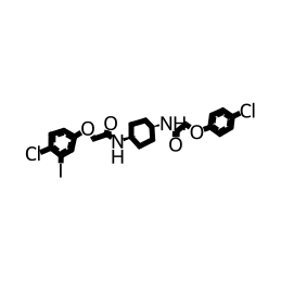 O=C(COc1ccc(Cl)cc1)N[C@H]1CC[C@H](NC(=O)COc2ccc(Cl)c(I)c2)CC1